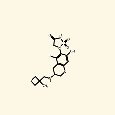 CC1(CN[C@@H]2CSc3cc(O)c(N4CC(=O)NS4(=O)=O)c(F)c3C2)COC1